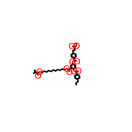 C=C(C)C(=O)OCCCCCCCCCCCOC(=O)c1cc(OC(=O)c2ccc(C=CC(=O)OC)cc2)ccc1OC(=O)c1ccc(CCC)cc1